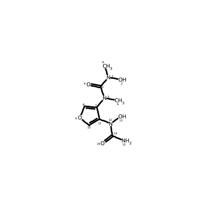 CN(O)C(=O)N(C)c1cocc1N(O)C(N)=O